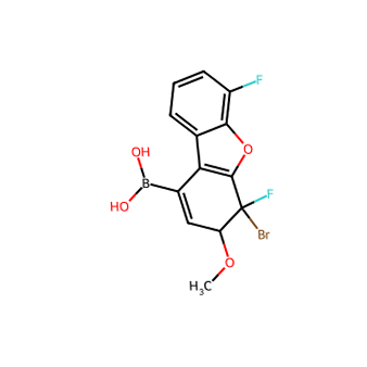 COC1C=C(B(O)O)c2c(oc3c(F)cccc23)C1(F)Br